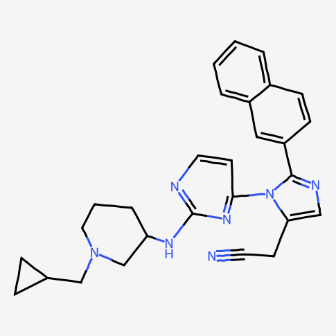 N#CCc1cnc(-c2ccc3ccccc3c2)n1-c1ccnc(NC2CCCN(CC3CC3)C2)n1